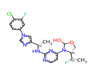 C[C@H](Nc1nccc(N2C(O)OC[C@@H]2[C@H](C)F)n1)c1cn(-c2ccc(Cl)c(F)c2)cn1